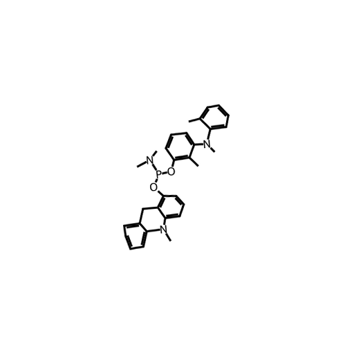 Cc1ccccc1N(C)c1cccc(OP(Oc2cccc3c2Cc2ccccc2N3C)N(C)C)c1C